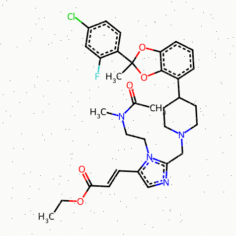 CCOC(=O)/C=C/c1cnc(CN2CCC(c3cccc4c3OC(C)(c3ccc(Cl)cc3F)O4)CC2)n1CCN(C)C(C)=O